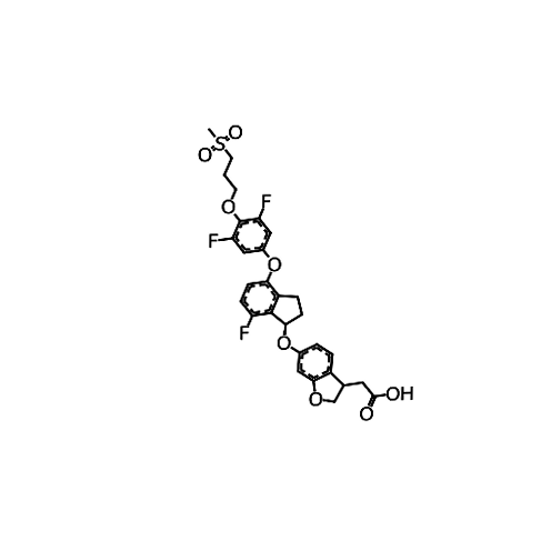 CS(=O)(=O)CCCOc1c(F)cc(Oc2ccc(F)c3c2CC[C@H]3Oc2ccc3c(c2)OCC3CC(=O)O)cc1F